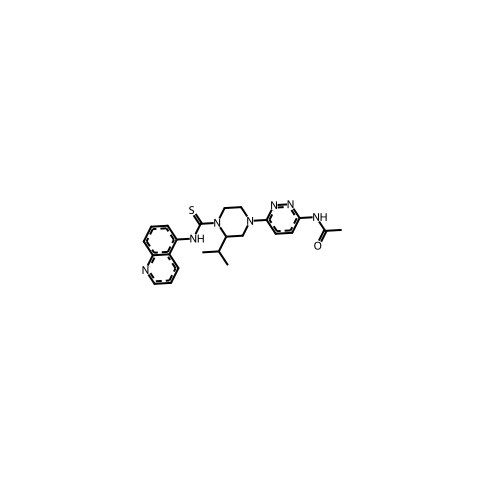 CC(=O)Nc1ccc(N2CCN(C(=S)Nc3cccc4ncccc34)C(C(C)C)C2)nn1